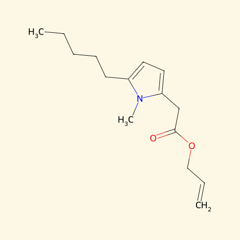 C=CCOC(=O)Cc1ccc(CCCCC)n1C